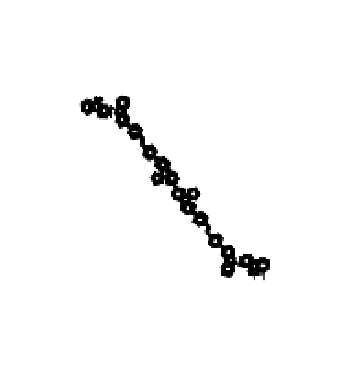 CC1(C)c2ccccc2-c2ccc(-n3c4ccccc4c4cc(-c5ccc(/C=C/c6ccc(-c7ccc8c(c7)C7(CCCC7)c7cc(-c9ccc%10c(c9)C9(CCCC9)c9cc(-c%11ccc(/C=C/c%12ccc(-c%13ccc%14c(c%13)c%13ccccc%13n%14-c%13ccc%14c(c%13)C(C)(C)[C@H]%13C=CC=CC%14%13)cc%12)cc%11)ccc9-%10)ccc7-8)cc6)cc5)ccc43)cc21